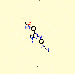 C=CC(=O)Nc1cccc(-c2nc(Nc3ccc(N(C)CCN(C)C)cc3)nc3[nH]ccc23)c1